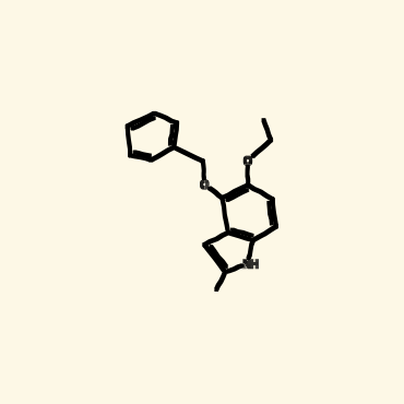 CCOc1ccc2[nH]c(C)cc2c1OCc1ccccc1